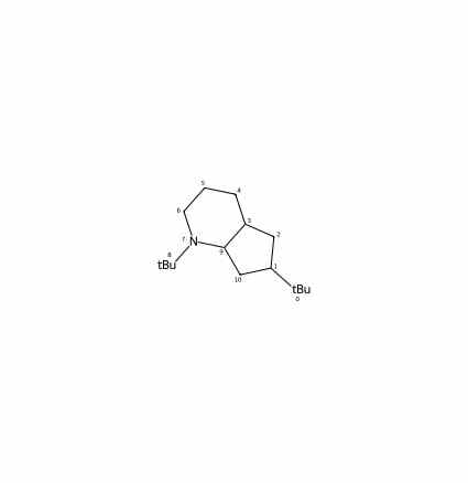 CC(C)(C)C1CC2CCCN(C(C)(C)C)C2C1